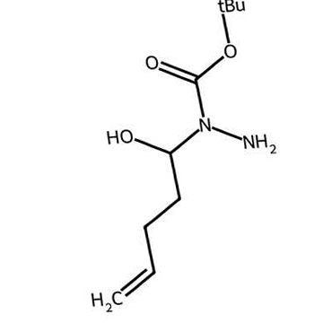 C=CCCC(O)N(N)C(=O)OC(C)(C)C